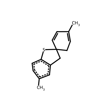 CC1=CCC2(C=C1)Cc1cc(C)ccc1S2